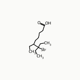 CCC(CCCCC(=O)O)[C]([Sb])(CC)CC